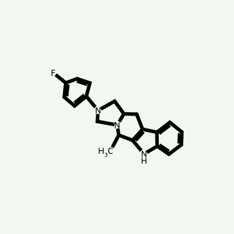 CC1c2[nH]c3ccccc3c2CC2CN(c3ccc(F)cc3)CN21